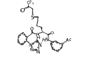 CC(=O)c1cccc(NC(=O)[C@H](CCCSCC(=O)C(F)(F)F)NC(=O)c2ccccc2-n2cnnn2)c1